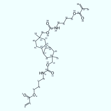 C=CC(=O)OCCCCNC(=O)OCC1(C)CC2CC(C1)C1CC(C)(COC(=O)NCCCCOC(=O)C(=C)C)CCC21